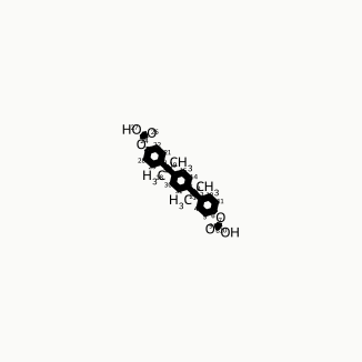 CC(C)(c1ccc(OC(=O)O)cc1)c1ccc(C(C)(C)c2ccc(OC(=O)O)cc2)cc1